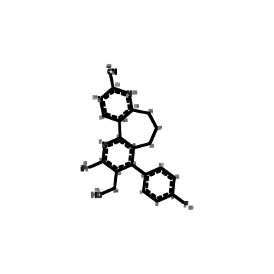 CC(C)c1nc2c(c(-c3ccc(F)cc3)c1CO)CCCc1nc(C#N)ncc1-2